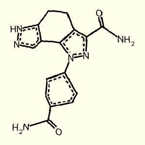 NC(=O)c1ccc(-n2nc(C(N)=O)c3c2-c2cn[nH]c2CC3)cc1